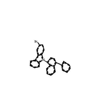 Brc1ccc2c(c1)c1ccccc1n2-c1ccc(-c2ccccc2)c2ccccc12